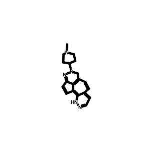 CN1CCC(N2Cc3ccc4c(c5ccc(c3-5)=N2)NN=CC=4)CC1